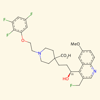 COc1ccc2ncc(CF)c([C@@H](O)CCC3(C(=O)O)CCN(CCOc4cc(F)cc(F)c4F)CC3)c2c1